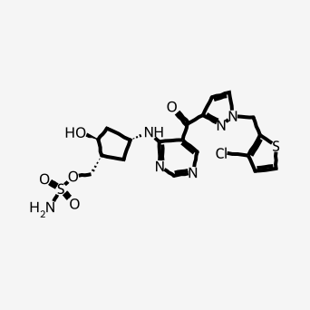 NS(=O)(=O)OC[C@H]1C[C@@H](Nc2ncncc2C(=O)c2ccn(Cc3sccc3Cl)n2)C[C@@H]1O